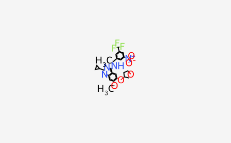 COc1cc2nc(C3CC3)nc(N[C@H](C)c3cc([N+](=O)[O-])cc(C(F)(F)F)c3)c2cc1O[C@H]1CCOC1